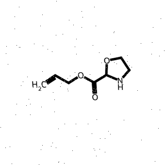 C=CCOC(=O)C1NCCO1